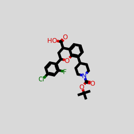 CC(C)(C)OC(=O)N1CCC(c2cccc3c2OC(c2ccc(Cl)cc2F)CC3C(=O)O)CC1